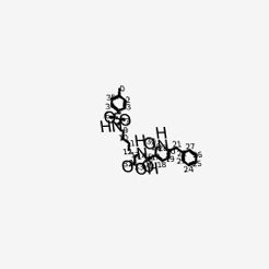 Cc1ccc(S(=O)(=O)NCCCC[C@H](NC(=O)c2ccc(Cc3ccccc3)[nH]c2=O)C(=O)O)cc1